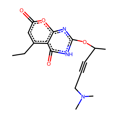 CCc1cc(=O)oc2nc(OC(C)C#CCN(C)C)[nH]c(=O)c12